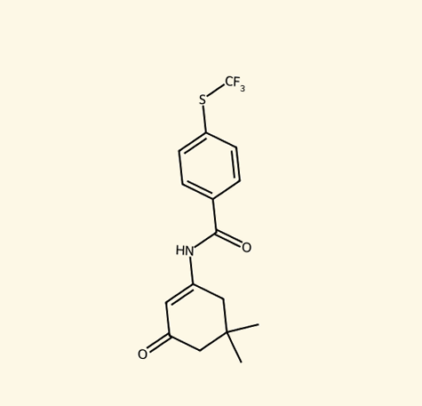 CC1(C)CC(=O)C=C(NC(=O)c2ccc(SC(F)(F)F)cc2)C1